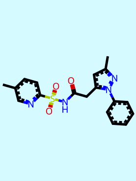 Cc1ccc(S(=O)(=O)NC(=O)Cc2cc(C)nn2-c2ccccc2)nc1